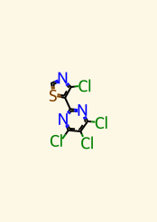 Clc1ncsc1-c1nc(Cl)c(Cl)c(Cl)n1